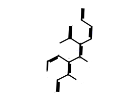 C=C/C=C\C(C(=C)C)=C(/Cl)C(/C=C\CC)=C(C=C)CCCC